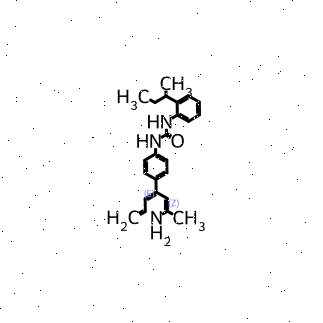 C=C/C=C(\C=C(\C)N)c1ccc(NC(=O)Nc2ccccc2C(C)CC)cc1